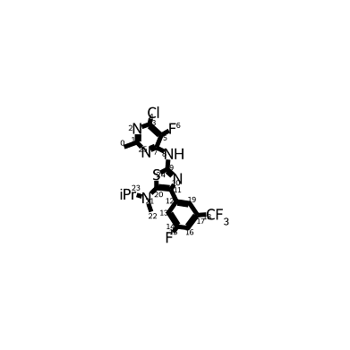 Cc1nc(Cl)c(F)c(Nc2nc(-c3cc(F)cc(C(F)(F)F)c3)c(N(C)C(C)C)s2)n1